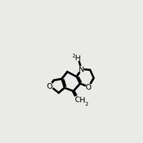 [2H]N1CCOC2=C1CC1=C(COC1)C2=C